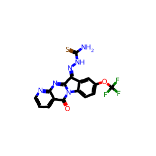 NC(=S)NN=C1c2cc(OC(F)(F)F)ccc2-n2c1nc1ncccc1c2=O